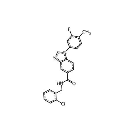 Cc1ccc(-n2cnc3cc(C(=O)NCc4ccccc4Cl)ccc32)cc1F